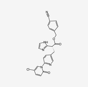 N#Cc1ccc(COC(=O)[C@H](Cc2ccc(-n3cc(Cl)ccc3=O)nc2)c2ncc[nH]2)cc1